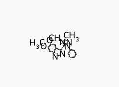 COc1cc2ncnc(-c3nc(C)nn3-c3ccccc3)c2cc1OC